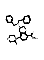 COC(=O)c1ccc(N2CCNCC2C)c2c1OC[C@@H](N(Cc1ccccc1)Cc1ccccc1)C2